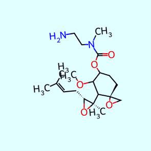 COC1C(OC(=O)N(C)CCN)CC[C@]2(CO2)C1[C@@]1(C)O[C@@H]1CC=C(C)C